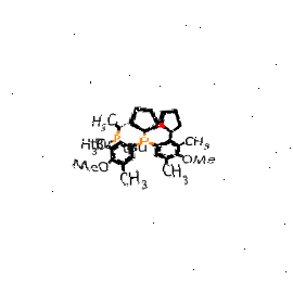 COc1c(C)cc(P(c2cc(C)c(OC)c(C)c2C2CCCC2)[C@H]2CCC[C@H]2C(C)P(C(C)(C)C)C(C)(C)C)cc1C